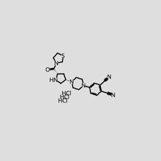 Cl.Cl.Cl.N#Cc1ccc(N2CCN([C@@H]3CN[C@H](C(=O)N4CCSC4)C3)CC2)cc1C#N